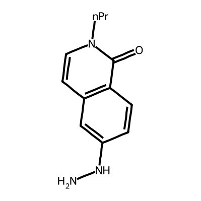 CCCn1ccc2cc(NN)ccc2c1=O